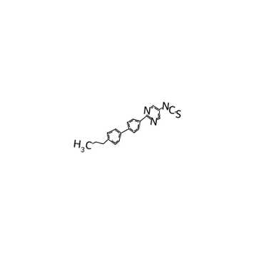 CCCc1ccc(-c2ccc(-c3ncc(N=C=S)cn3)cc2)cc1